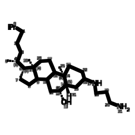 CC(C)CCC[C@@H](C)[C@H]1CCC2C3C[C@@H](O)[C@H]4CC(NCCCN)CC[C@]4(C)C3CC[C@@]21C